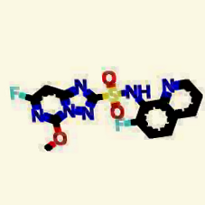 COc1nc(F)cc2nc(S(=O)(=O)Nc3c(F)ccc4cccnc34)nn12